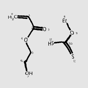 C=CC(=O)OCCO.CCOC(=S)S